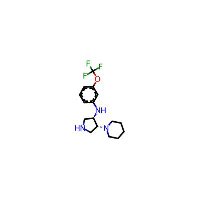 FC(F)(F)Oc1cccc(N[C@@H]2CNC[C@H]2N2CCCCC2)c1